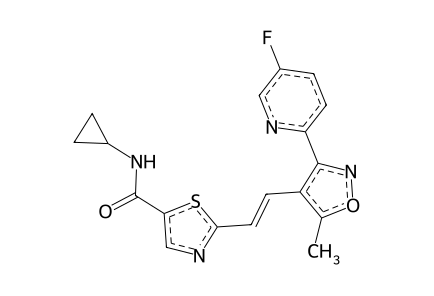 Cc1onc(-c2ccc(F)cn2)c1/C=C/c1ncc(C(=O)NC2CC2)s1